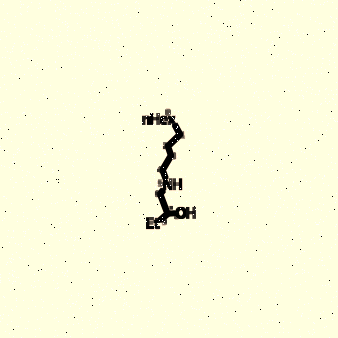 CCCCCCCCCCNCC(O)CC